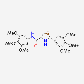 COc1cc(NC(=O)C2CSC(c3cc(OC)c(OC)c(OC)c3)N2)cc(OC)c1OC